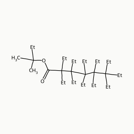 CCC(C)(C)OC(=O)C(CC)(CC)C(CC)(CC)C(CC)(CC)C(CC)(CC)C(CC)(CC)CC